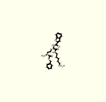 CN(CCC[C@H](NC(=O)c1cc2ccccc2o1)C(=O)NCCCCCC(=O)O)C(=O)OCc1ccccc1